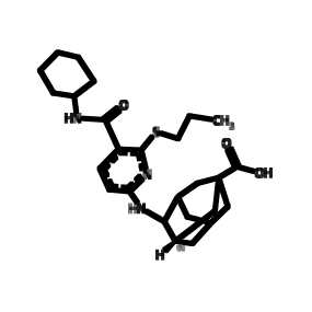 CCCSc1nc(NC2C3CC4C[C@H]2CC(C(=O)O)(C4)C3)ccc1C(=O)NC1CCCCC1